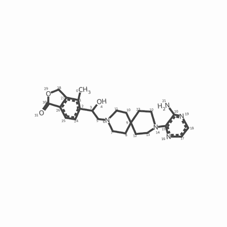 Cc1c(C(O)CN2CCC3(CC2)CCN(c2nccnc2N)CC3)ccc2c1COC2=O